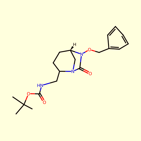 CC(C)(C)OC(=O)NCC1CC[C@H]2CN1C(=O)N2OCc1ccccc1